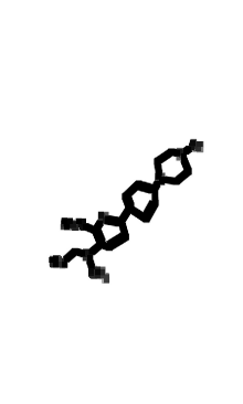 CNc1nc(-c2ccc(N3CCN(C(C)=O)CC3)cc2)ccc1N(C)CC(C)(C)C